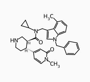 Cc1cccc2c1c(CN(C(=O)[C@@H]1CNCC[C@H]1c1ccn(C)c(=O)c1)C1CC1)cn2Cc1ccccc1